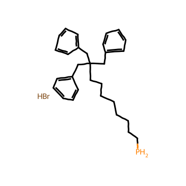 Br.PCCCCCCCCC(Cc1ccccc1)(Cc1ccccc1)Cc1ccccc1